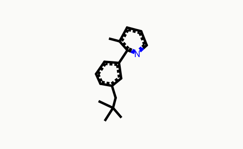 Cc1cccnc1-c1cccc(CC(C)(C)C)c1